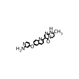 CC1CCn2c(ncc(-c3ccc4cc(Oc5ccnc(N)c5)ccc4n3)c2=O)N1